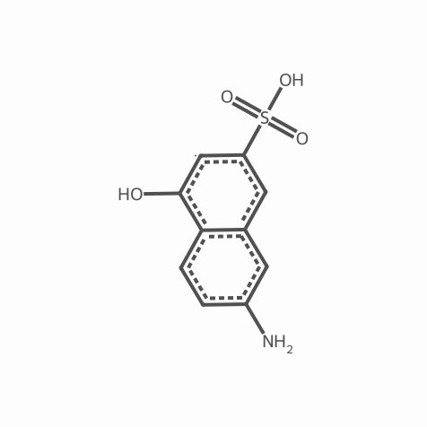 Nc1ccc2c(O)[c]c(S(=O)(=O)O)cc2c1